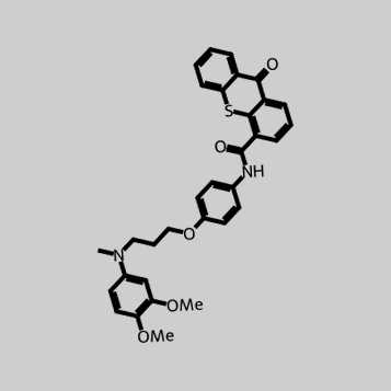 COc1ccc(N(C)CCCOc2ccc(NC(=O)c3cccc4c(=O)c5ccccc5sc34)cc2)cc1OC